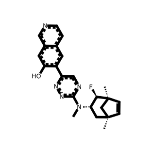 CN(c1ncc(-c2cc3ccncc3cc2O)nn1)[C@H]1C[C@]2(C)C=C[C@@](C)(C2)[C@@H]1F